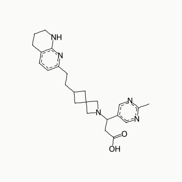 Cc1ncc(C(CC(=O)O)N2CC3(CC(CCc4ccc5c(n4)NCCC5)C3)C2)cn1